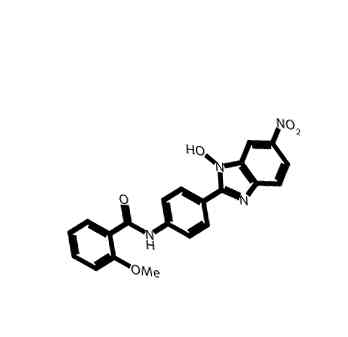 COc1ccccc1C(=O)Nc1ccc(-c2nc3ccc([N+](=O)[O-])cc3n2O)cc1